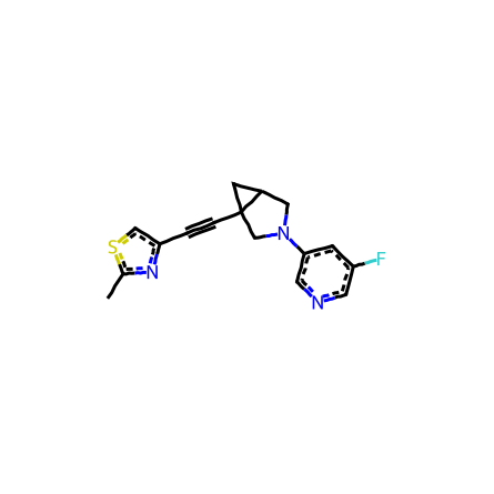 Cc1nc(C#CC23CC2CN(c2cncc(F)c2)C3)cs1